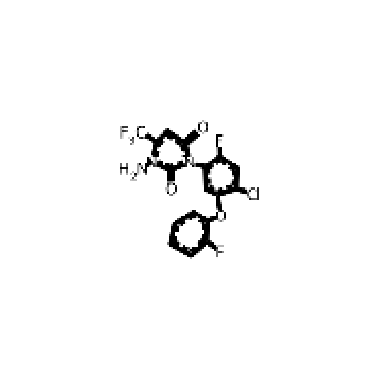 Nn1c(C(F)(F)F)cc(=O)n(-c2cc(Oc3ccccc3F)c(Cl)cc2F)c1=O